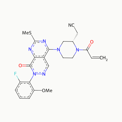 C=CC(=O)N1CCN(c2nc(SC)nc3c(=O)n(-c4c(F)cccc4OC)ncc23)C[C@@H]1CC#N